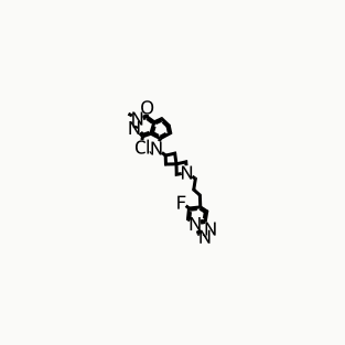 CN(c1cccc2c(=O)n(C)nc(Cl)c12)C1CC2(C1)CN(CCCc1cc3nncn3cc1F)C2